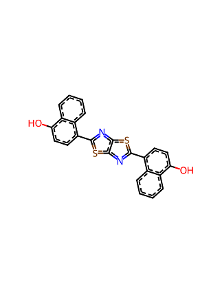 Oc1ccc(-c2nc3sc(-c4ccc(O)c5ccccc45)nc3s2)c2ccccc12